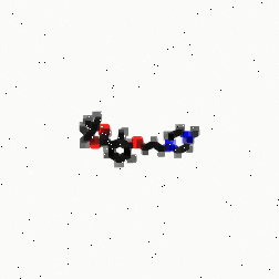 Cc1c(OCCCN2CCN(C)CC2)cccc1B1OC(C)(C)C(C)(C)O1